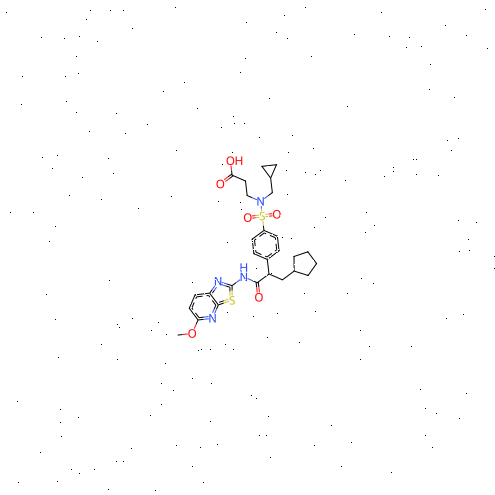 COc1ccc2nc(NC(=O)C(CC3CCCC3)c3ccc(S(=O)(=O)N(CCC(=O)O)CC4CC4)cc3)sc2n1